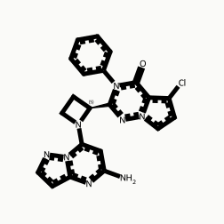 Nc1cc(N2CC[C@H]2c2nn3ccc(Cl)c3c(=O)n2-c2ccccc2)n2nccc2n1